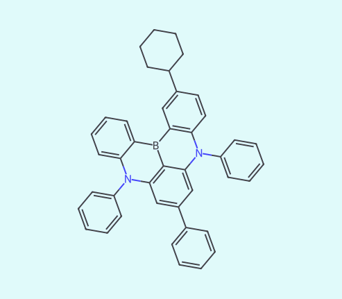 c1ccc(-c2cc3c4c(c2)N(c2ccccc2)c2ccc(C5CCCCC5)cc2B4c2ccccc2N3c2ccccc2)cc1